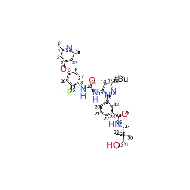 Cc1cc(Oc2ccc(NC(=O)Nc3cc(C(C)(C)C)nn3-c3cccc(C(=O)NCC(C)(C)CO)c3)c(F)c2)ccn1